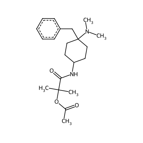 CC(=O)OC(C)(C)C(=O)NC1CCC(Cc2ccccc2)(N(C)C)CC1